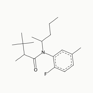 CCCC(C)N(C(=O)C(C)C(C)(C)C)c1cc(C)ccc1F